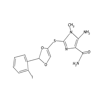 Cn1c(SC2=COC(c3ccccc3I)O2)nc(C(N)=O)c1N